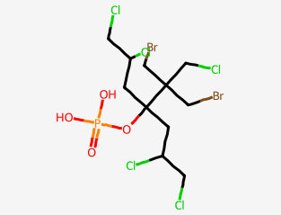 O=P(O)(O)OC(CC(Cl)CCl)(CC(Cl)CCl)C(CCl)(CBr)CBr